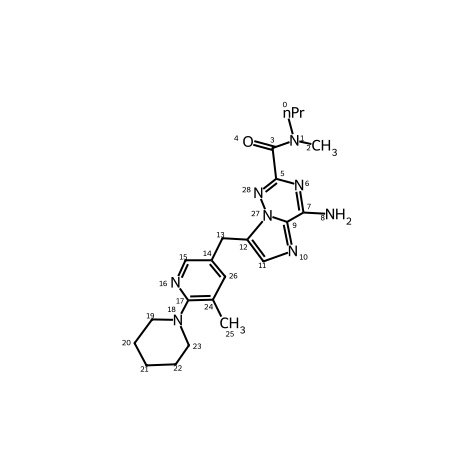 CCCN(C)C(=O)c1nc(N)c2ncc(Cc3cnc(N4CCCCC4)c(C)c3)n2n1